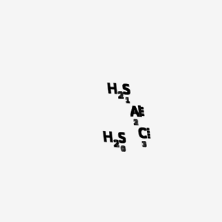 S.S.[Al].[C]